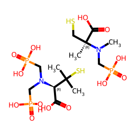 CC(C)(S)[C@@H](C(=O)O)N(CP(=O)(O)O)CP(=O)(O)O.CN(CP(=O)(O)O)[C@@](C)(CS)C(=O)O